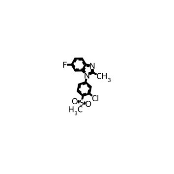 Cc1nc2ccc(F)cc2n1-c1ccc(S(C)(=O)=O)c(Cl)c1